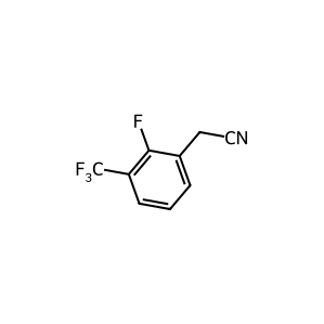 N#CCc1cccc(C(F)(F)F)c1F